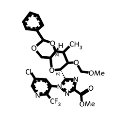 COCOC1C(C)[C@H]2OC(c3ccccc3)OCC2O[C@H]1c1nc(C(=O)OC)nn1-c1cc(Cl)cnc1C(F)(F)F